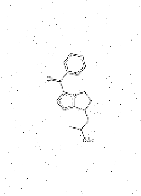 CC(=O)OC(C)CC1CCn2c(C(=O)c3ccccc3)ccc21